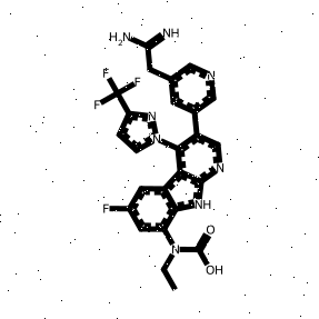 CCN(C(=O)O)c1cc(F)cc2c1[nH]c1ncc(-c3cncc(CC(=N)N)c3)c(-n3ccc(C(F)(F)F)n3)c12